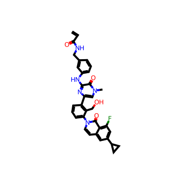 C=CC(=O)NCc1cccc(Nc2nc(-c3cccc(-n4ccc5cc(C6CC6)cc(F)c5c4=O)c3CO)cn(C)c2=O)c1